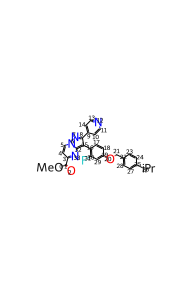 COC(=O)c1ccn2nc(-c3ccncc3)c(-c3ccc(OCc4ccc(C(C)C)cc4)cc3F)c2n1